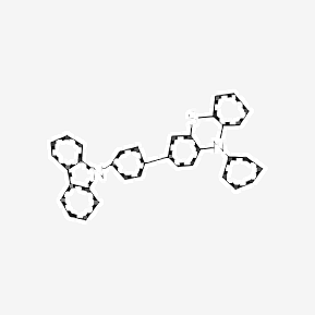 c1ccc(N2c3ccccc3Sc3cc(-c4ccc(-n5c6ccccc6c6ccccc65)cc4)ccc32)cc1